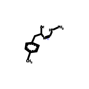 CC(=O)C(Cc1ccc(C)cc1)/N=P\PP